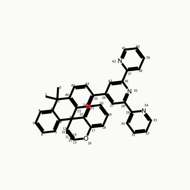 CC1(C)c2ccccc2C2(c3ccccc3Oc3ccccc32)c2cc(-c3cc(-c4ccccn4)nc(-c4ccccn4)c3)ccc21